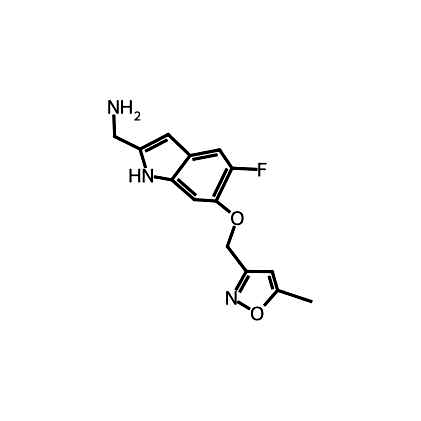 Cc1cc(COc2cc3[nH]c(CN)cc3cc2F)no1